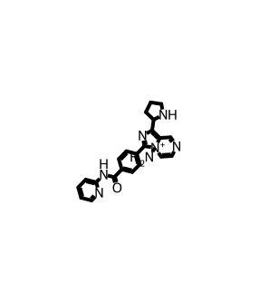 N[N+]12C=CN=CC1=C(C1CCCN1)N=C2c1ccc(C(=O)Nc2ccccn2)cc1